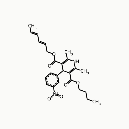 CC=CC=CCOC(=O)C1=C(C)NC(C)=C(C(=O)OCCCC)C1c1cccc([N+](=O)[O-])c1